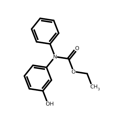 CCOC(=O)N(c1ccccc1)c1cccc(O)c1